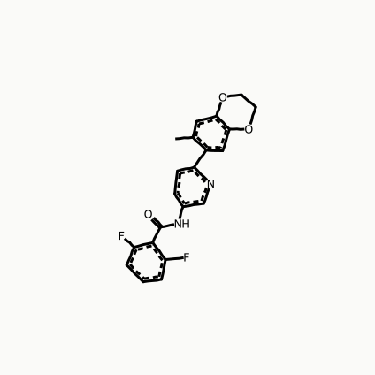 Cc1cc2c(cc1-c1ccc(NC(=O)c3c(F)cccc3F)cn1)OCCO2